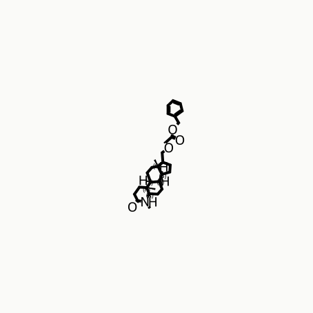 CN1C(=O)CC[C@]2(C)[C@H]3CC[C@]4(C)C(COCC(=O)OCc5ccccc5)CC[C@H]4[C@@H]3CC[C@@H]12